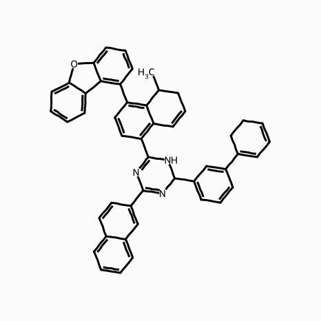 CC1CC=Cc2c(C3=NC(c4ccc5ccccc5c4)=NC(c4cccc(C5=CC=CCC5)c4)N3)ccc(-c3cccc4oc5ccccc5c34)c21